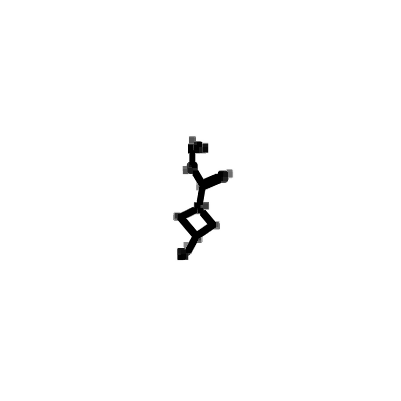 CCCCOC(=O)N1CC(Br)C1